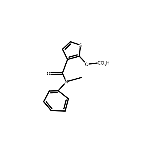 CN(C(=O)c1ccsc1OC(=O)O)c1ccccc1